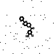 O=C(c1ccc(O)c(Cl)c1)N1CCc2nc(-c3ccccn3)ncc2C1